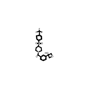 O=C(c1cccc(C2(O)COC2)c1)N1CCC(S(=O)(=O)c2ccc(C(F)(F)F)cc2)CC1